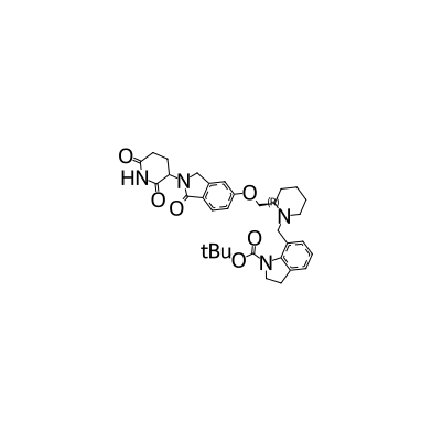 CC(C)(C)OC(=O)N1CCc2cccc(CN3CCCC[C@@H]3COc3ccc4c(c3)CN(C3CCC(=O)NC3=O)C4=O)c21